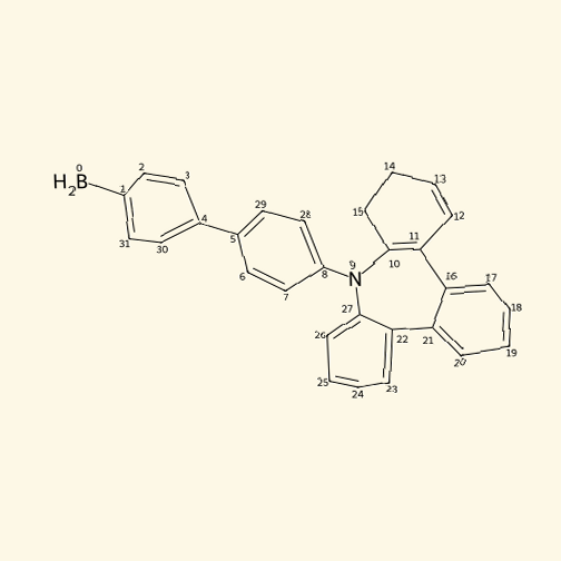 Bc1ccc(-c2ccc(N3C4=C(C=CCC4)c4ccccc4-c4ccccc43)cc2)cc1